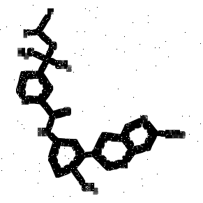 CNc1cc2ncc(-c3cc(NC(=O)c4cc(C(C)(C)OC(F)F)ccn4)ccc3C)cc2cn1